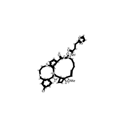 CO[C@H]1/C=C/CCC[S@@](=O)(NC(=O)CCc2nccs2)=NC(=O)c2ccc3c(c2)N(Cc2ccc(Cl)cc2CCCCO3)C[C@@H]2CC[C@H]21